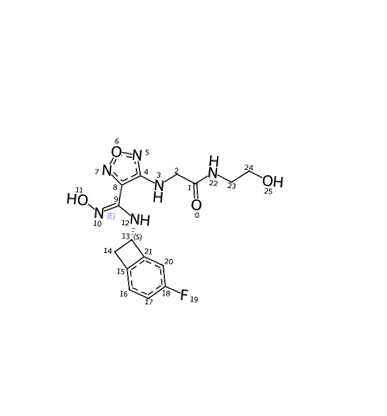 O=C(CNc1nonc1/C(=N\O)N[C@H]1Cc2ccc(F)cc21)NCCO